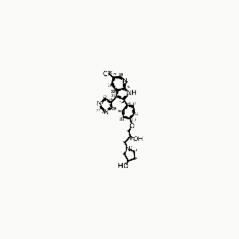 OC1CCN(CC(O)COc2ccc(-c3[nH]c4ncc(Cl)cc4c3-c3cncnc3)cc2)C1